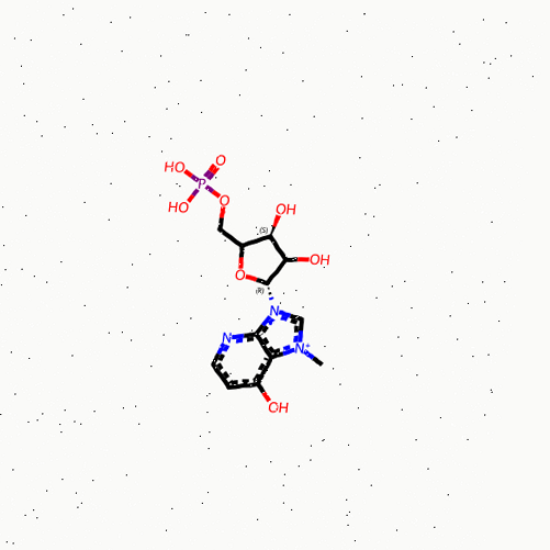 C[n+]1cn([C@@H]2OC(COP(=O)(O)O)[C@@H](O)C2O)c2nccc(O)c21